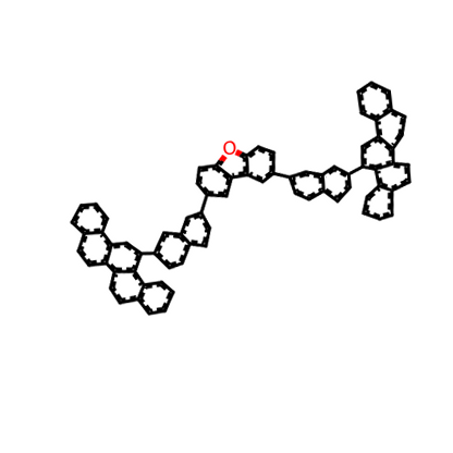 c1ccc2c(c1)ccc1c2cc(-c2ccc3ccc(-c4ccc5oc6ccc(-c7ccc8ccc(-c9cc%10c%11ccccc%11ccc%10c%10ccc%11ccccc%11c9%10)cc8c7)cc6c5c4)cc3c2)c2c3ccccc3ccc12